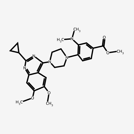 COC(=O)c1ccc(N2CCN(c3nc(C4CC4)nc4cc(OC)c(OC)cc34)CC2)c(N(C)C)c1